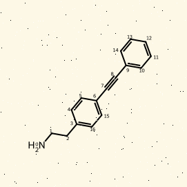 NCCc1ccc(C#Cc2ccccc2)cc1